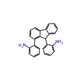 Nc1ccccc1-c1cccc2c1C(c1ccccc1N)c1ccccc1-2